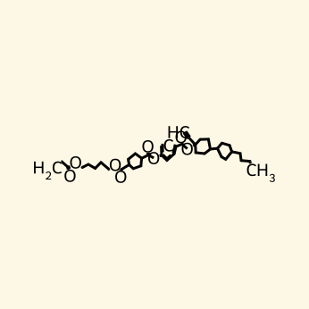 C#CC1(OC(=O)c2ccc(OC(=O)C3CCC(C(=O)OCCCCCOC(=O)C=C)CC3)cc2)CCC(C2CCC(CCCC)CC2)CC1